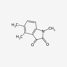 Cc1ccc2c(c1C)C(=O)C(=O)N2C